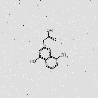 Cc1cccc2c(O)cc(CC(=O)O)nc12